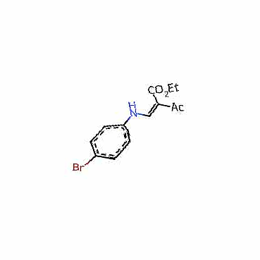 CCOC(=O)/C(=C\Nc1ccc(Br)cc1)C(C)=O